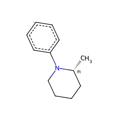 C[C@@H]1CCCCN1c1cc[c]cc1